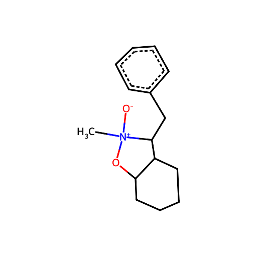 C[N+]1([O-])OC2CCCCC2C1Cc1ccccc1